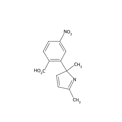 CC1=NC(C)(c2cc([N+](=O)[O-])ccc2C(=O)O)C=C1